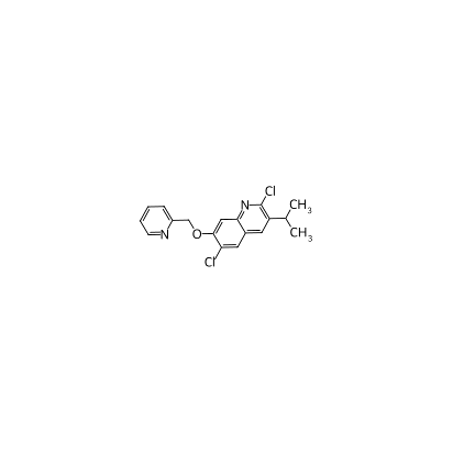 CC(C)c1cc2cc(Cl)c(OCc3ccccn3)cc2nc1Cl